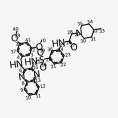 COc1cc(Nc2nc3ccccc3nc2NS(=O)(=O)c2cccc(NC(=O)CN3CCC(C)CC3)c2)cc(OC)c1